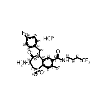 Cl.N[C@H]1CS(=O)(=O)c2cc(F)c(C(=O)NCCCC(F)(F)F)cc2N(Cc2ccc(F)cc2)C1=O